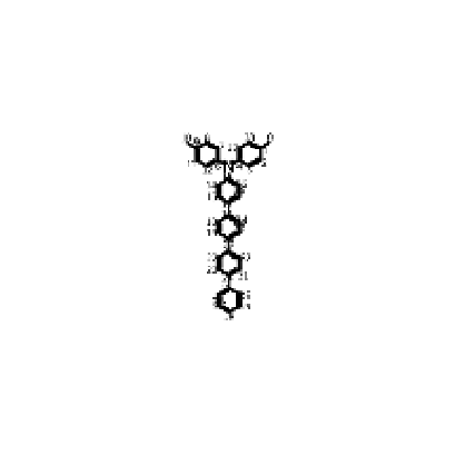 Cc1ccc(N(c2ccc(C)cc2)c2ccc(-c3ccc(-c4ccc(-c5ccccc5)cc4)cc3)cc2)cc1